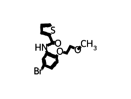 COCCOc1ccc(Br)cc1NC(=O)c1cccs1